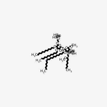 CCCCCC/C=C\CCCCCCCCCCO[C@H]1[C@H](OC[C@H]2O[C@H](OCCOP(=O)(O)O)[C@H](OCCCCCCCCCCCC)[C@@H](OCCCCCCCCCCCC)[C@@H]2O)O[C@H](COC)[C@@H](OP(=O)(O)O)[C@@H]1OCC[C@@H](CCCCCCC)OC